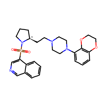 O=S(=O)(c1cncc2ccccc12)N1CCC[C@H]1CCN1CCN(c2cccc3c2OCCO3)CC1